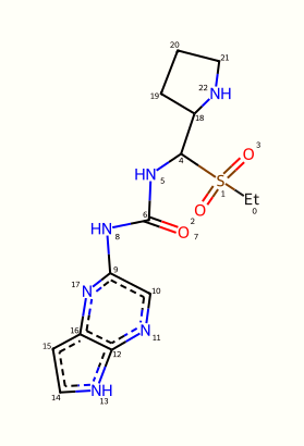 CCS(=O)(=O)C(NC(=O)Nc1cnc2[nH]ccc2n1)C1CCCN1